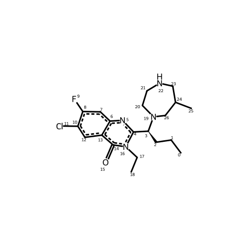 CCC[C@@H](c1nc2cc(F)c(Cl)cc2c(=O)n1CC)N1CCNCC(C)C1